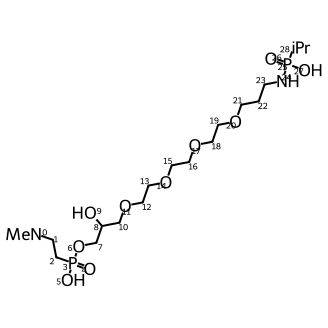 CNCCP(=O)(O)OCC(O)COCCOCCOCCOCCCNP(=O)(O)C(C)C